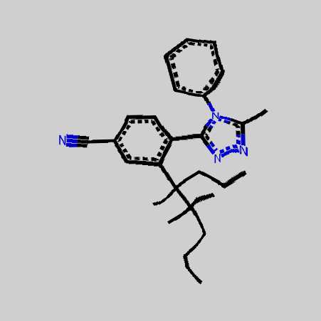 CCCC(C)(C)C(C)(CCC)c1cc(C#N)ccc1-c1nnc(C)n1-c1ccccc1